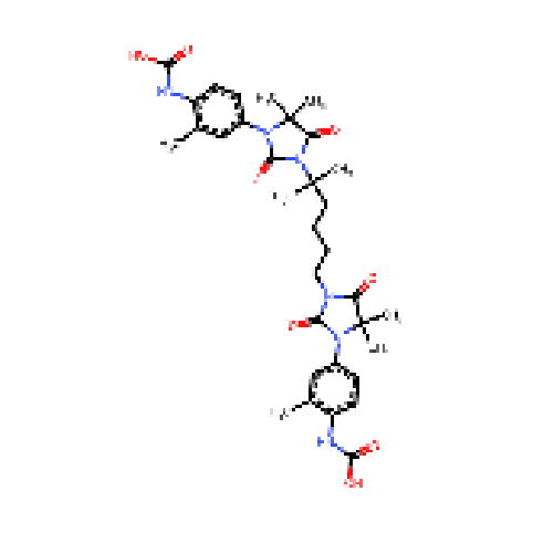 Cc1cc(N2C(=O)N(CCCCC(C)(C)N3C(=O)N(c4ccc(NC(=O)O)c(C)c4)C(C)(C)C3=O)C(=O)C2(C)C)ccc1NC(=O)O